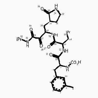 Cc1cccc(CC(NC(=O)O)C(=O)NC(CC(C)C)C(=O)NC(C[C@@H]2CCNC2=O)C(=O)C(=O)NC(C)C)c1